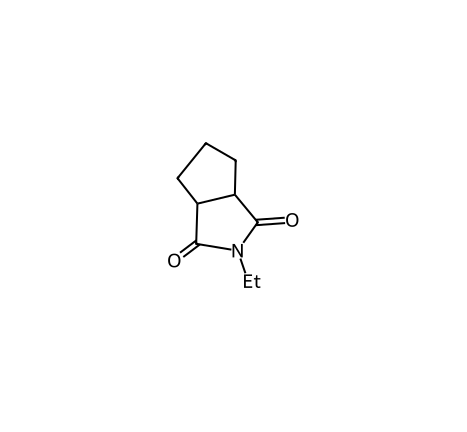 CCN1C(=O)C2CCCC2C1=O